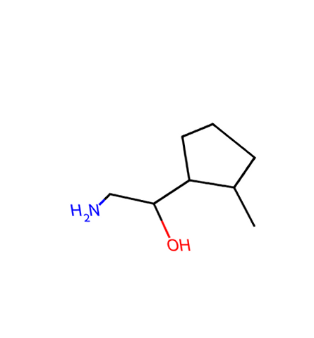 CC1CCCC1C(O)CN